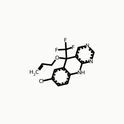 C=CCOC1(C(F)(F)F)c2cc(Cl)ccc2Nc2ncncc21